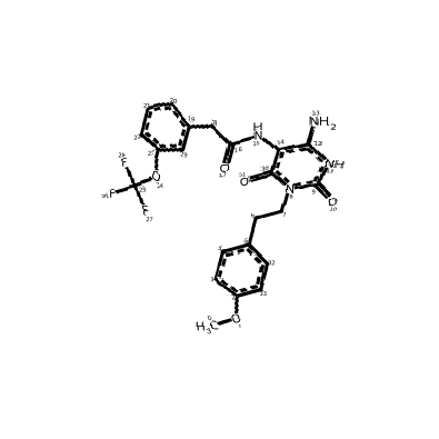 COc1ccc(CCn2c(=O)[nH]c(N)c(NC(=O)Cc3cccc(OC(F)(F)F)c3)c2=O)cc1